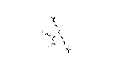 C=C(C)C(=O)OCCOCCOCCOCCOC(=O)C(=C)C.CC(O)COC(C)COC(C)CO